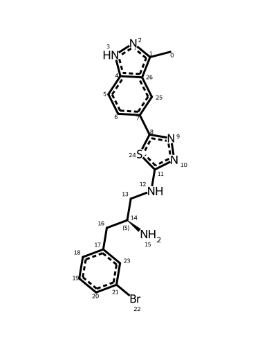 Cc1n[nH]c2ccc(-c3nnc(NC[C@@H](N)Cc4cccc(Br)c4)s3)cc12